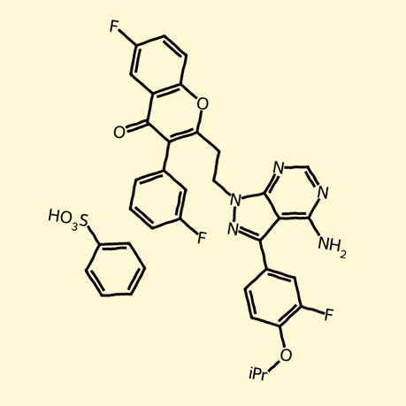 CC(C)Oc1ccc(-c2nn(CCc3oc4ccc(F)cc4c(=O)c3-c3cccc(F)c3)c3ncnc(N)c23)cc1F.O=S(=O)(O)c1ccccc1